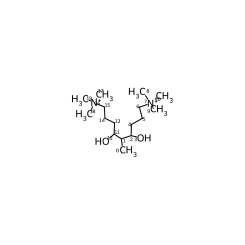 CC(C(O)CCC[N+](C)(C)C)C(O)CCC[N+](C)(C)C